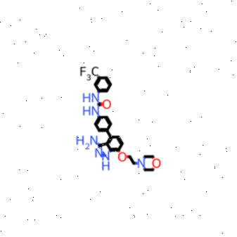 Nc1n[nH]c2c(OCCN3CCOCC3)ccc(-c3ccc(NC(=O)Nc4cccc(C(F)(F)F)c4)cc3)c12